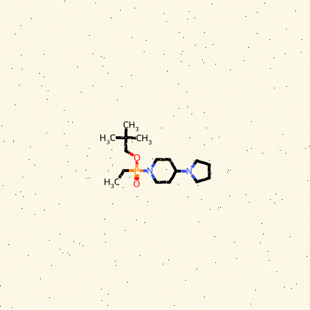 CCP(=O)(OCC(C)(C)C)N1CCC(N2CCCC2)CC1